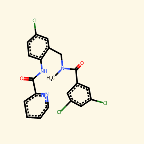 CN(Cc1cc(Cl)ccc1NC(=O)c1ccccn1)C(=O)c1cc(Cl)cc(Cl)c1